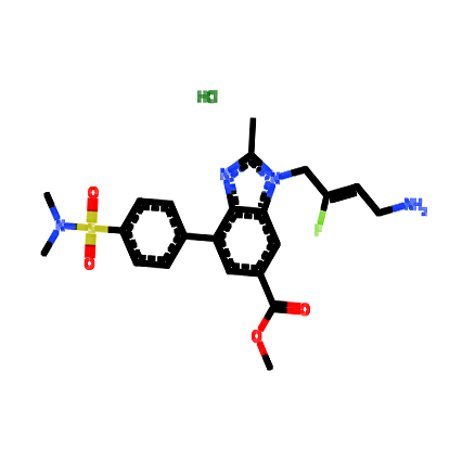 COC(=O)c1cc(-c2ccc(S(=O)(=O)N(C)C)cc2)c2nc(C)n(C/C(F)=C/CN)c2c1.Cl